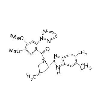 C=C1CC(c2nc3cc(C)c(C)cc3[nH]2)N(C(=O)c2cc(OC)c(OC)cc2-n2nccn2)C1